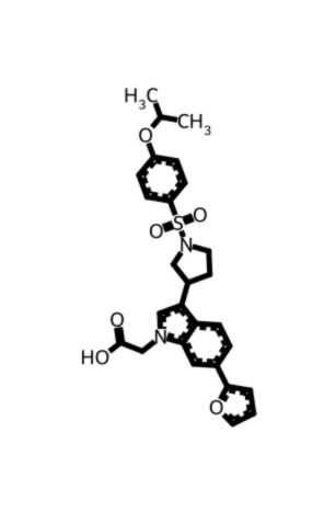 CC(C)Oc1ccc(S(=O)(=O)N2CCC(c3cn(CC(=O)O)c4cc(-c5ccco5)ccc34)C2)cc1